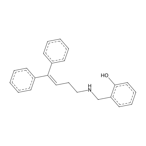 Oc1ccccc1CNCCC=C(c1ccccc1)c1ccccc1